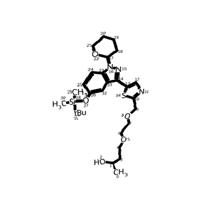 C[C@@H](O)CCOCCOCc1ncc(-c2nn(C3CCCCO3)c3ccc(O[Si](C)(C)C(C)(C)C)cc23)s1